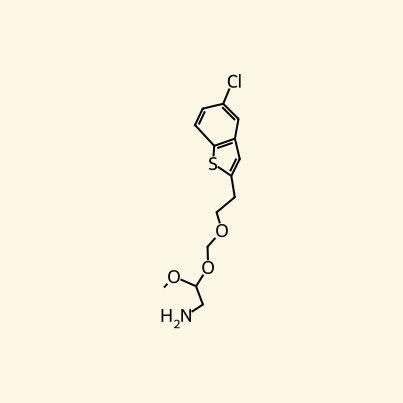 COC(CN)OCOCCc1cc2cc(Cl)ccc2s1